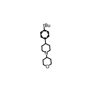 CC(C)(C)c1ccc(C2CCN(C3CCOCC3)CC2)cc1